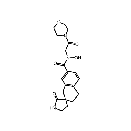 O=C(c1ccc2c(c1)C[C@]1(CCNC1=O)CC2)N(O)CC(=O)N1CCOCC1